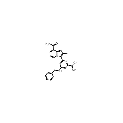 Cc1cc2c(C(N)=O)cccn2c1-c1nc(NCc2ccccc2)cc(B(O)O)n1